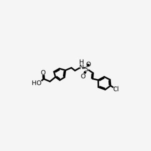 O=C(O)Cc1ccc(CCNS(=O)(=O)C=Cc2ccc(Cl)cc2)cc1